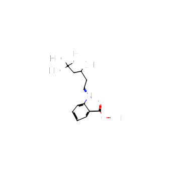 COC(=O)c1ccccc1/N=C/CC(C)CC(C)(C)C